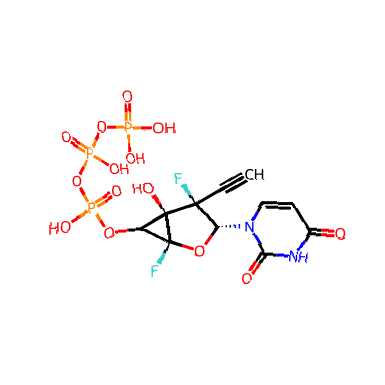 C#C[C@]1(F)[C@H](n2ccc(=O)[nH]c2=O)O[C@]2(F)C(OP(=O)(O)OP(=O)(O)OP(=O)(O)O)[C@@]21O